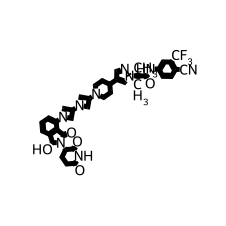 CC(C)(C(=O)Nc1ccc(C#N)c(C(F)(F)F)c1)n1cc(C2CCN(C3CN(C4CN(c5cccc6c5C(=O)N(C5CCC(=O)NC5=O)C6O)C4)C3)CC2)cn1